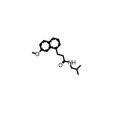 COc1ccc2cccc(CCC(=O)NCC(C)C)c2c1